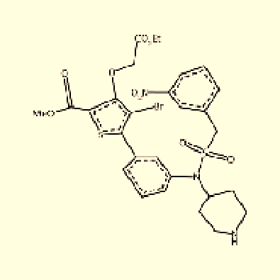 CCOC(=O)COc1c(C(=O)OC)sc(-c2cccc(N(C3CCNCC3)S(=O)(=O)Cc3cccc([N+](=O)[O-])c3)c2)c1Br